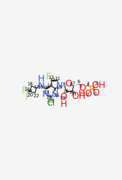 O=P(O)(O)COC[C@H]1O[C@@H](n2cc(F)c3c(NC4CC(F)(F)C4)nc(Cl)nc32)[C@H](O)[C@@H]1O